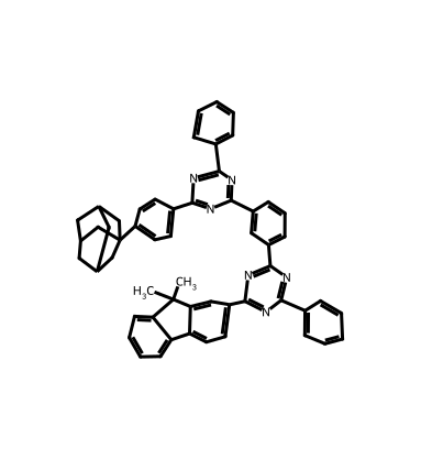 CC1(C)c2ccccc2-c2ccc(-c3nc(-c4ccccc4)nc(-c4cccc(-c5nc(-c6ccccc6)nc(-c6ccc(C78CC9CC(CC(C9)C7)C8)cc6)n5)c4)n3)cc21